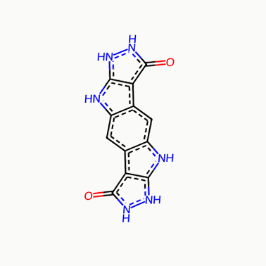 O=c1[nH][nH]c2[nH]c3cc4c(cc3c12)[nH]c1[nH][nH]c(=O)c14